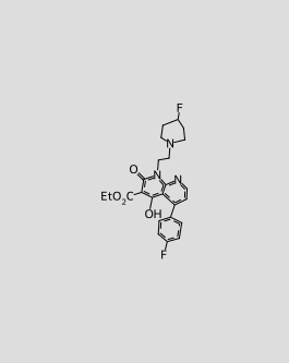 CCOC(=O)c1c(O)c2c(-c3ccc(F)cc3)ccnc2n(CCN2CCC(F)CC2)c1=O